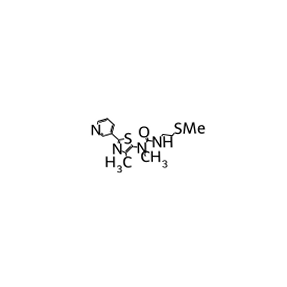 CSCCNC(=O)N(C)c1sc(-c2cccnc2)nc1C